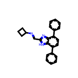 C(=N\C1CCC1)/c1nc2c(-c3ccccc3)ccc(-c3ccccc3)c2[nH]1